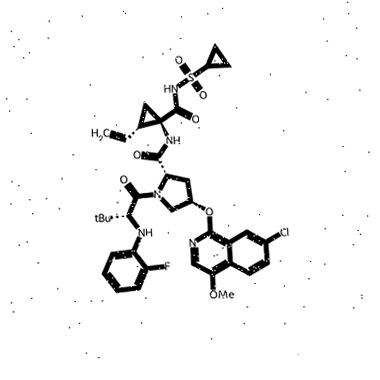 C=C[C@@H]1C[C@]1(NC(=O)[C@@H]1C[C@@H](Oc2ncc(OC)c3ccc(Cl)cc23)CN1C(=O)[C@H](Nc1ccccc1F)C(C)(C)C)C(=O)NS(=O)(=O)C1CC1